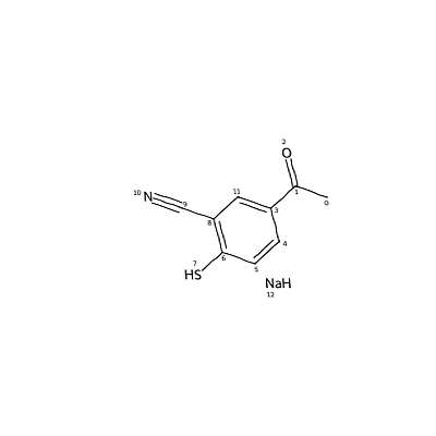 CC(=O)c1ccc(S)c(C#N)c1.[NaH]